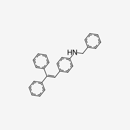 C(=C(c1ccccc1)c1ccccc1)c1ccc(NCc2ccccc2)cc1